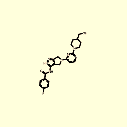 O=C(Nc1[nH]nc2c1CN(c1ccnc(N3CCC(CO)CC3)n1)C2)c1ccc(F)cc1